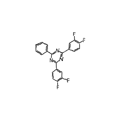 Fc1ccc(-c2nc(-c3ccccc3)nc(-c3ccc(F)c(F)c3)n2)cc1F